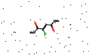 COC(=O)C=C(Cl)C(=O)OC